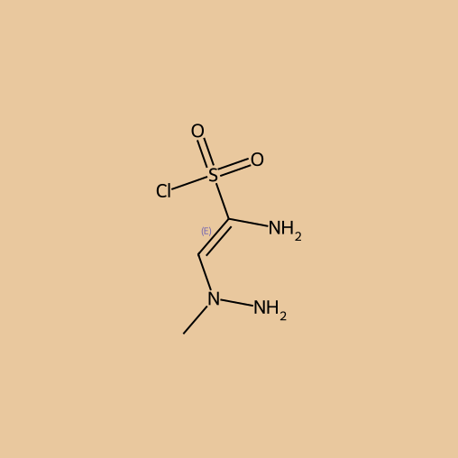 CN(N)/C=C(\N)S(=O)(=O)Cl